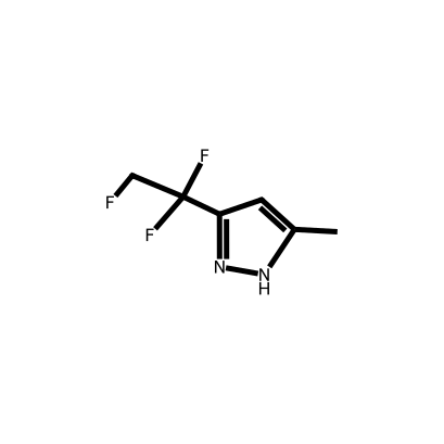 Cc1cc(C(F)(F)CF)n[nH]1